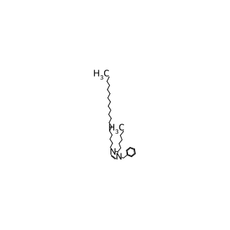 CCCCCCCCCCCCCCCCCCCN1C=CN(Cc2ccccc2)C1CCCCCC